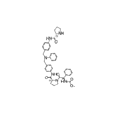 COC(=O)N[C@@H](C(=O)N1CCC[C@H]1C(=O)Nc1ccc(CN(Cc2ccc(NC(=O)[C@@H]3CCCN3)cc2)c2ccccc2)cc1)c1ccccc1